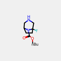 CCCCOC(=O)N1C2CCC1(F)CNC2